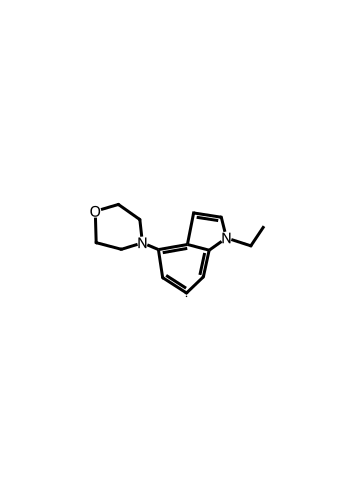 CCn1ccc2c(N3CCOCC3)c[c]cc21